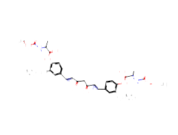 COc1cc(/C=C/C(=O)CC(=O)/C=C/c2ccc(OC(=O)C(C)NC(=O)OC(C)(C)C)c(OC)c2)ccc1OC(=O)C(C)NC(=O)OC(C)(C)C